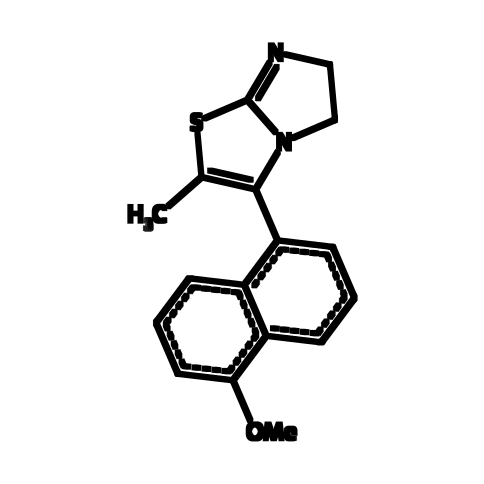 COc1cccc2c(C3=C(C)SC4=NCCN43)cccc12